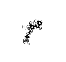 COc1cc(-c2cc(=O)c3cccc(Cl)c3o2)cc(OCCO[C@H]2C[C@@H](C(=O)OC)C2)c1OC